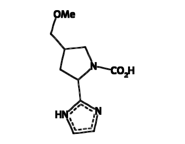 COCC1CC(c2ncc[nH]2)N(C(=O)O)C1